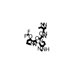 Cc1c(-c2nnc(C(=O)N3CCc4[nH]cnc4[C@@H]3c3cc4c(OC(F)F)cccn4n3)o2)cnn1C